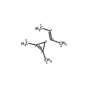 CC1=C(C)[CH]1.[CH2]C=CC